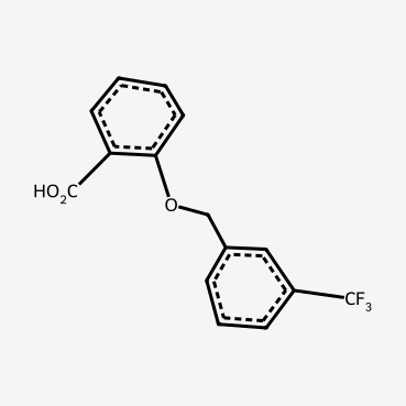 O=C(O)c1ccccc1OCc1cccc(C(F)(F)F)c1